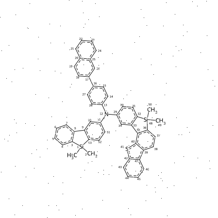 C[Si]1(C)c2ccccc2-c2cc(N(c3ccc(-c4ccc5ccccc5c4)cc3)c3ccc4c(c3)-c3c(ccc5c3sc3ccccc35)[Si]4(C)C)ccc21